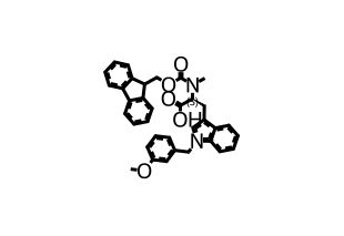 COc1cccc(Cn2cc(C[C@@H](C(=O)O)N(C)C(=O)OCC3c4ccccc4-c4ccccc43)c3ccccc32)c1